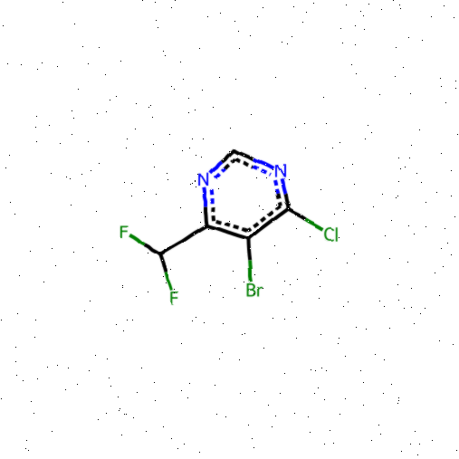 FC(F)c1ncnc(Cl)c1Br